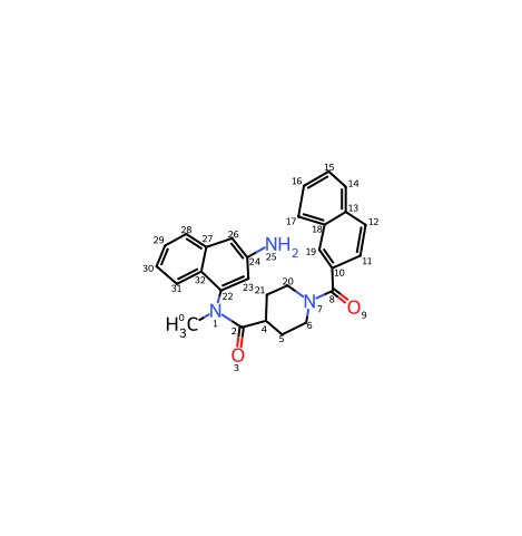 CN(C(=O)C1CCN(C(=O)c2ccc3ccccc3c2)CC1)c1cc(N)cc2ccccc12